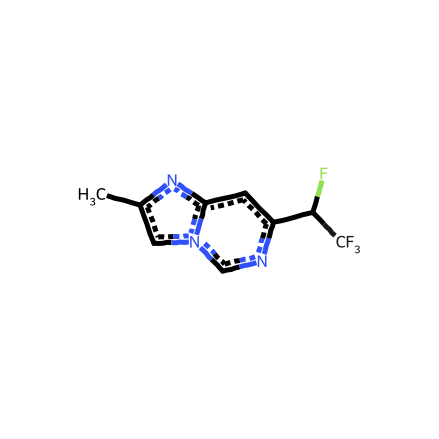 Cc1cn2cnc(C(F)C(F)(F)F)cc2n1